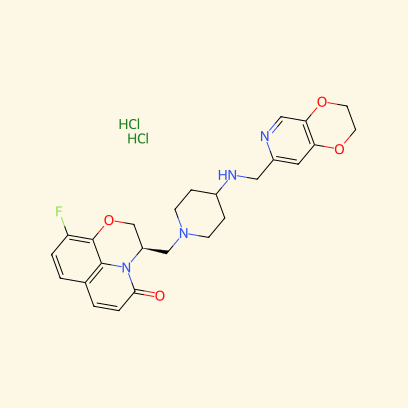 Cl.Cl.O=c1ccc2ccc(F)c3c2n1[C@H](CN1CCC(NCc2cc4c(cn2)OCCO4)CC1)CO3